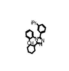 Cc1ccccc1-n1c(-c2cccc(C(C)C)c2)nnc1C1CCCCC1